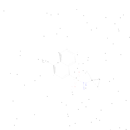 CCc1ccc(S(=O)(=O)NC2(C#N)CC2)c2ccccc12